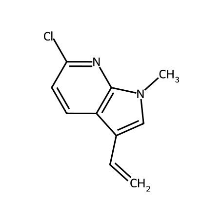 C=Cc1cn(C)c2nc(Cl)ccc12